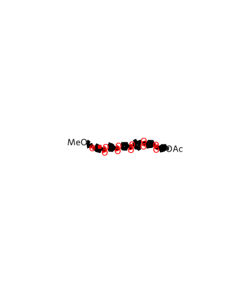 COC(C)CCOc1ccc(C(=O)Oc2ccc(C(=O)Oc3ccc(C(=O)Oc4cc(C)c(OC(=O)c5ccc(OC(=O)c6ccc(OC(C)=O)cc6)cc5)c(C)c4C)cc3)cc2)cc1